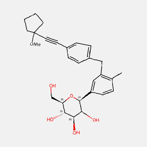 COC1(C#Cc2ccc(Cc3cc([C@@H]4O[C@H](CO)[C@@H](O)[C@H](O)C4O)ccc3C)cc2)CCCC1